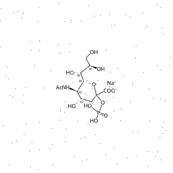 CC(=O)N[C@H]1[C@H]([C@H](O)[C@H](O)CO)OC(OP(=O)(O)O)(C(=O)[O-])C[C@@H]1O.[Na+]